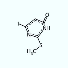 CSc1nc(I)cc(=O)[nH]1